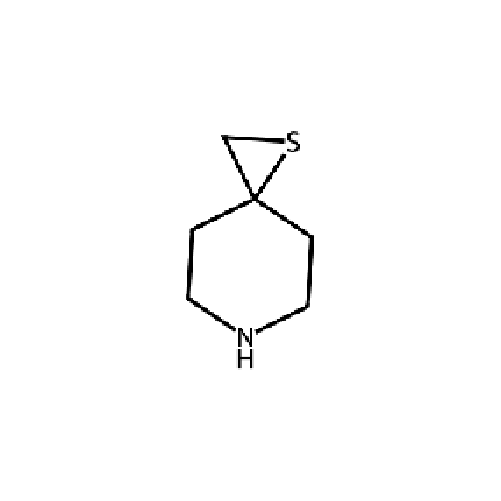 C1CC2(CCN1)CS2